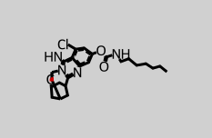 CCCCCCCNC(=O)Oc1cc(Cl)c2c(=N)n3c(nc2c1)C1CC2CC(C1)CC3C2